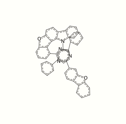 c1ccc(-c2cccc(-n3c4ccccc4c4ccc5oc6cccc(-c7nc(-c8ccccc8)nc(-c8ccc9c(c8)oc8ccccc89)n7)c6c5c43)c2)cc1